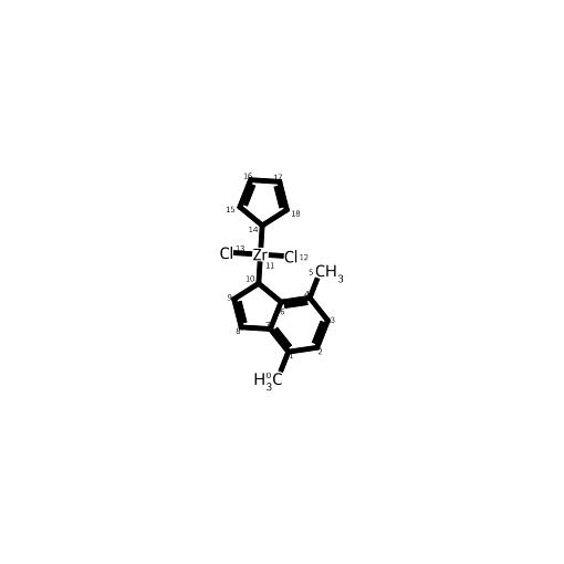 Cc1ccc(C)c2c1C=C[CH]2[Zr]([Cl])([Cl])[CH]1C=CC=C1